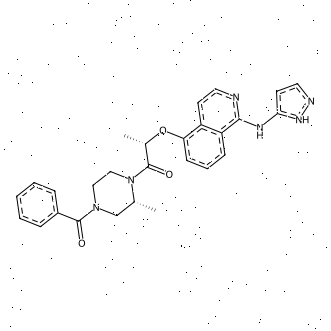 C[C@H](Oc1cccc2c(Nc3ccn[nH]3)nccc12)C(=O)N1CCN(C(=O)c2ccccc2)C[C@H]1C